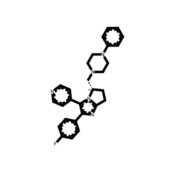 Fc1ccc(-c2nc3n(c2-c2ccncc2)[C@H](CN2CCN(c4ccccc4)CC2)CC3)cc1